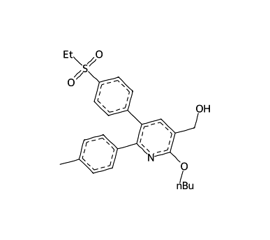 CCCCOc1nc(-c2ccc(C)cc2)c(-c2ccc(S(=O)(=O)CC)cc2)cc1CO